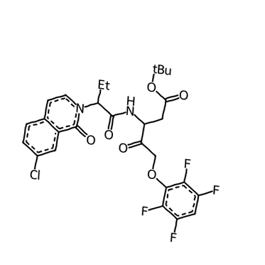 CCC(C(=O)NC(CC(=O)OC(C)(C)C)C(=O)COc1c(F)c(F)cc(F)c1F)n1ccc2ccc(Cl)cc2c1=O